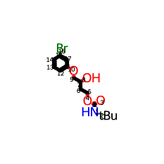 CC(C)(C)NC(=O)OCCC(O)COc1cccc(Br)c1